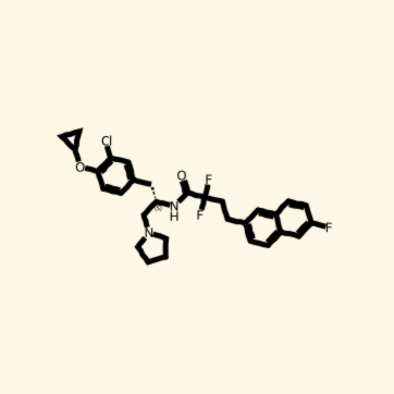 O=C(N[C@@H](Cc1ccc(OC2CC2)c(Cl)c1)CN1CCCC1)C(F)(F)CCc1ccc2cc(F)ccc2c1